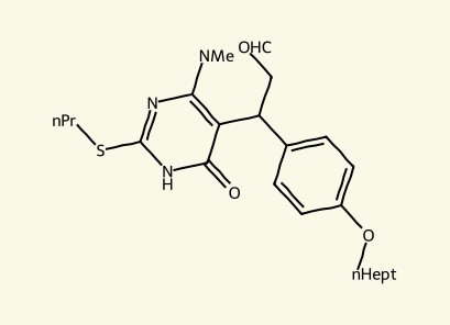 CCCCCCCOc1ccc(C(CC=O)c2c(NC)nc(SCCC)[nH]c2=O)cc1